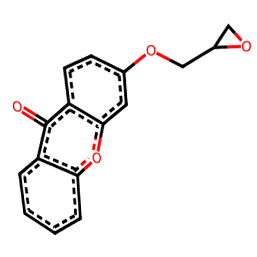 O=c1c2ccccc2oc2cc(OCC3CO3)ccc12